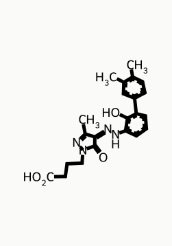 CC1=NN(CCCC(=O)O)C(=O)/C1=N\Nc1cccc(-c2ccc(C)c(C)c2)c1O